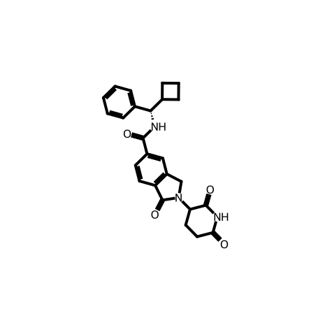 O=C1CCC(N2Cc3cc(C(=O)N[C@H](c4ccccc4)C4CCC4)ccc3C2=O)C(=O)N1